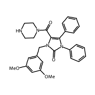 COc1cc(Cn2c(C(=O)N3CCNCC3)c(-c3ccccc3)n(-c3ccccc3)c2=O)cc(OC)c1